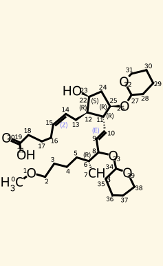 COCCCC[C@@H](C)C(/C=C/[C@@H]1[C@@H](C/C=C\CCCC(=O)O)[C@@H](O)C[C@H]1OC1CCCCO1)OC1CCCCO1